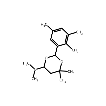 Cc1cc(C)c(C)c(C2OC(N(C)C)CC(C)(C)O2)c1